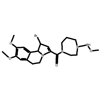 COBN1CCCN(C(=O)C2=CC(Br)C3c4cc(OC)c(OC)cc4CCN23)CC1